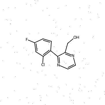 OCc1nccnc1-c1ccc(F)cc1Cl